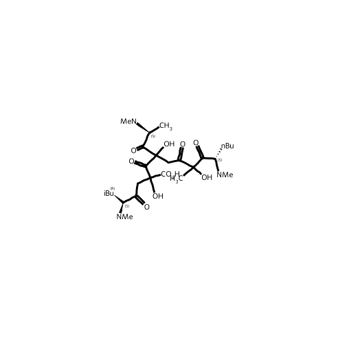 CCCC[C@H](NC)C(=O)C(C)(O)C(=O)CC(O)(C(=O)[C@H](C)NC)C(=O)C(O)(CC(=O)[C@@H](NC)[C@H](C)CC)C(=O)O